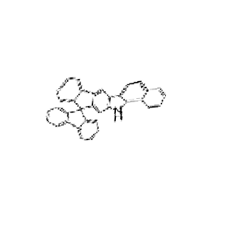 c1ccc2c(c1)-c1ccccc1C21c2ccccc2-c2cc3c(cc21)[nH]c1c2ccccc2ccc31